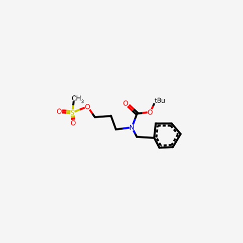 CC(C)(C)OC(=O)N(CCCOS(C)(=O)=O)Cc1ccccc1